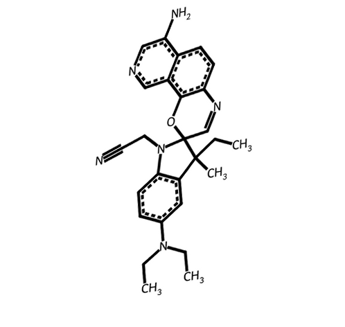 CCN(CC)c1ccc2c(c1)C(C)(CC)C1(C=Nc3ccc4c(N)cncc4c3O1)N2CC#N